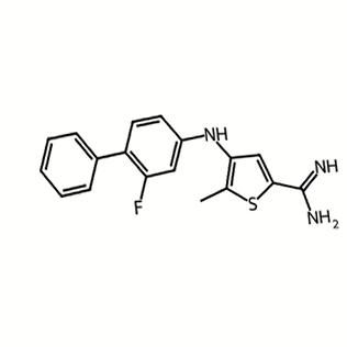 Cc1sc(C(=N)N)cc1Nc1ccc(-c2ccccc2)c(F)c1